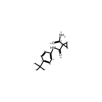 CC(C)(C)c1ccc(NC(=O)C2(C(N)=O)CC2)cc1